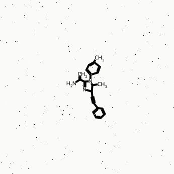 C=C(N)C1=NC(C#Cc2ccccc2)C(C)N1c1ccc(C)cc1